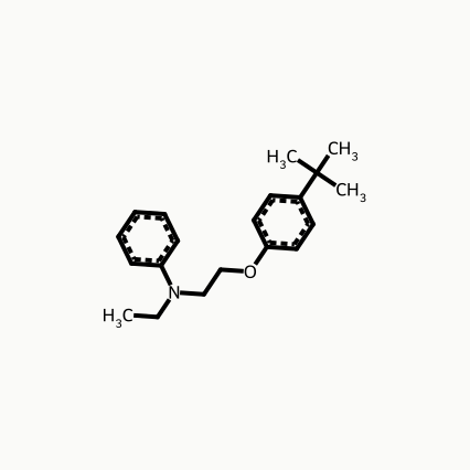 CCN(CCOc1ccc(C(C)(C)C)cc1)c1ccccc1